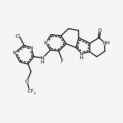 O=C1NCCc2[nH]c3c(c21)CCc1cnc(Nc2nc(Cl)ncc2COC(F)(F)F)c(F)c1-3